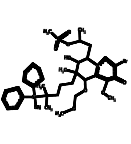 COCOC1c2c(OC)c(=O)c(Br)cn2C(CC(C)OS(C)(=O)=O)C(O)C1(C)CCCC(C)(C)[Si](O)(c1ccccc1)c1ccccc1